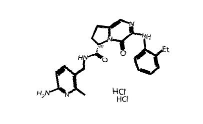 CCc1ccccc1Nc1ncc2n(c1=O)[C@H](C(=O)NCc1ccc(N)nc1C)CC2.Cl.Cl